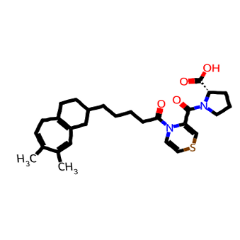 CC1=CCC2=C(C=C1C)CC(CCCCC(=O)N1C=CSC=C1C(=O)N1CCC[C@H]1C(=O)O)CC2